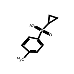 Cc1ccc(S(=N)(=O)C2CC2)cc1